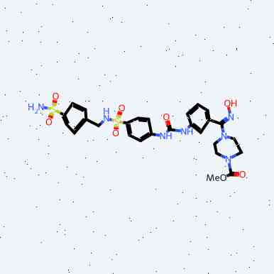 COC(=O)N1CCN(/C(=N/O)c2cccc(NC(=O)Nc3ccc(S(=O)(=O)NCc4ccc(S(N)(=O)=O)cc4)cc3)c2)CC1